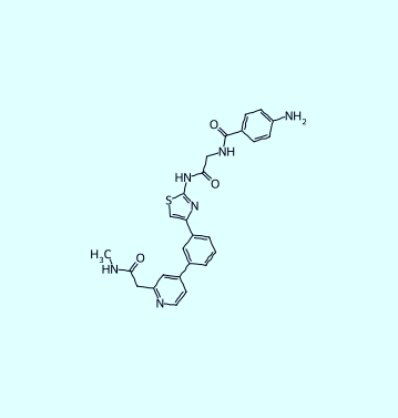 CNC(=O)Cc1cc(-c2cccc(-c3csc(NC(=O)CNC(=O)c4ccc(N)cc4)n3)c2)ccn1